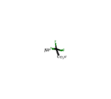 O=C(O)C(F)(F)F.[Ne]